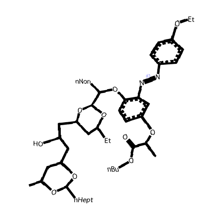 CCCCCCCCCC(Oc1ccc(OC(C)C(=O)OCCCC)cc1/N=N/c1ccc(OCC)cc1)C1OC(CC)CC(CC(O)CC2CC(C)OC(CCCCCCC)O2)O1